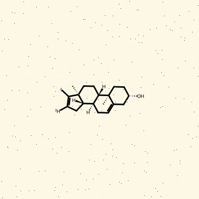 [2H]C1=C(I)[C@@]2(C)CC[C@H]3[C@@H](CC=C4C[C@@H](O)CC[C@@]43C)[C@@H]2C1